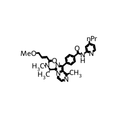 CCCc1ccnc(NC(=O)c2ccc(-c3nc([C@H](C)N(C)C(=O)/C=C/COC)n4ccnc(C)c34)cc2)c1